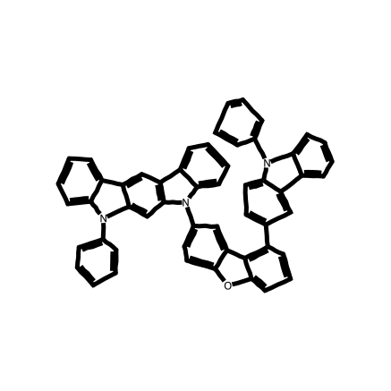 c1ccc(-n2c3ccccc3c3cc(-c4cccc5oc6ccc(-n7c8ccccc8c8cc9c%10ccccc%10n(-c%10ccccc%10)c9cc87)cc6c45)ccc32)cc1